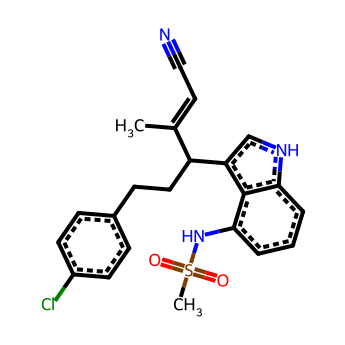 CC(=CC#N)C(CCc1ccc(Cl)cc1)c1c[nH]c2cccc(NS(C)(=O)=O)c12